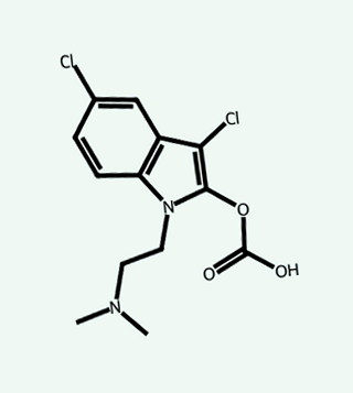 CN(C)CCn1c(OC(=O)O)c(Cl)c2cc(Cl)ccc21